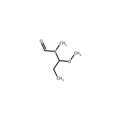 CCC(OC)N(C)[C]=O